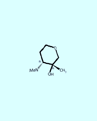 CN[C@@H]1CCOC[C@]1(C)O